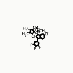 CC1=C(C)C(C)[C]([Zr+2]([CH]2C=C(c3cc(F)c(F)c(F)c3)c3ccccc32)=[Si](C)C)=C1C.[Cl-].[Cl-]